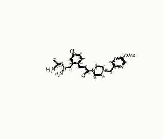 COc1cnc(CN2CCN(C(=O)/C=C/c3ccc(Cl)cc3CN(N)/N=C(/C)N)CC2)cn1